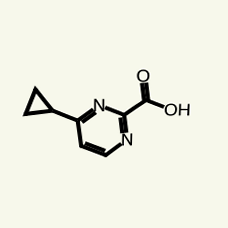 O=C(O)c1nccc(C2CC2)n1